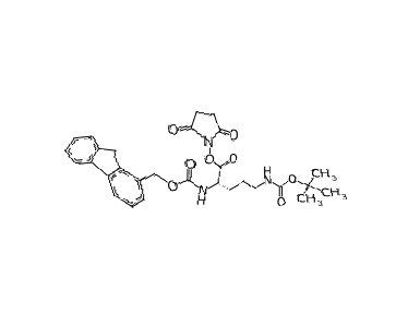 CC(C)(C)OC(=O)NCCC[C@H](NC(=O)OCc1cccc2c1Cc1ccccc1-2)C(=O)ON1C(=O)CCC1=O